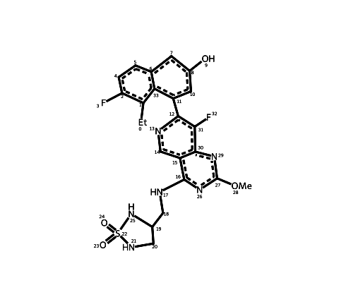 CCc1c(F)ccc2cc(O)cc(-c3ncc4c(NCC5CNS(=O)(=O)N5)nc(OC)nc4c3F)c12